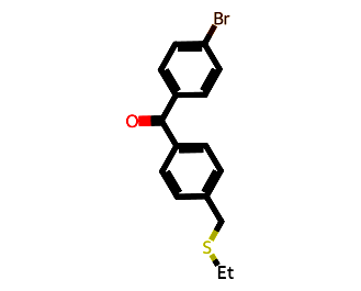 CCSCc1ccc(C(=O)c2ccc(Br)cc2)cc1